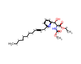 CCCCCCCCCC#CCc1cccc(C(O)C(NC(=O)OC)C(=O)OCC)n1